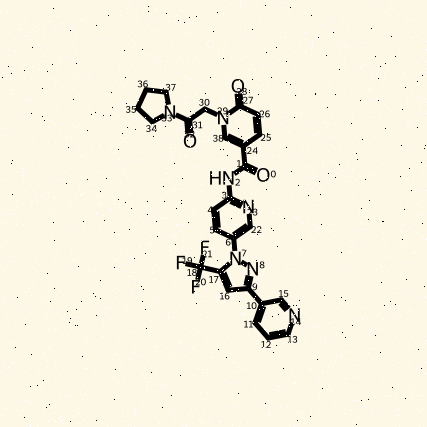 O=C(Nc1ccc(-n2nc(-c3cccnc3)cc2C(F)(F)F)cn1)c1ccc(=O)n(CC(=O)N2CCCC2)c1